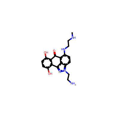 CNCCNc1ccc2c3c(nn2CCN)-c2c(O)ccc(O)c2C(=O)c13